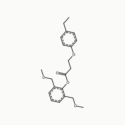 CCc1ccc(OCCC(=O)Oc2c(COC)cccc2COC)cc1